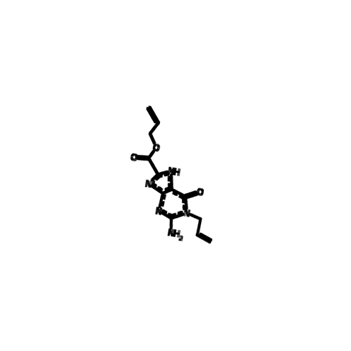 C=CCOC(=O)c1nc2nc(N)n(CC=C)c(=O)c2[nH]1